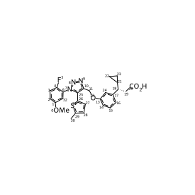 COc1ccc(F)c(-n2nnc(COc3cccc([C@@H](CC(=O)O)C4CC4)c3)c2-c2ccc(C)s2)c1